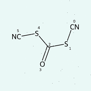 N#CSC(=O)SC#N